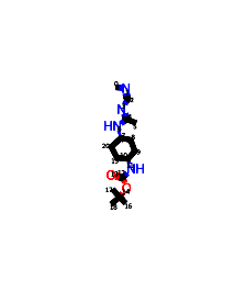 C/N=C\N=C(/C)N[C@H]1CC[C@@H](NC(=O)OC(C)(C)C)CC1